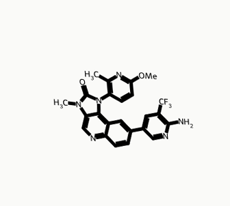 COc1ccc(-n2c(=O)n(C)c3cnc4ccc(-c5cnc(N)c(C(F)(F)F)c5)cc4c32)c(C)n1